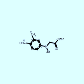 CCN(CC(=O)NC)c1ccc(C=O)c(C)c1